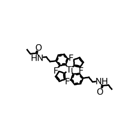 CCC(=O)NCCc1ccc(F)[c]([Ti]([C]2=CC=CC2)([C]2=CC=CC2)[c]2c(F)ccc(CCNC(=O)CC)c2F)c1F